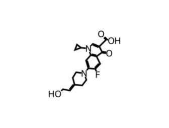 O=C(O)c1cn(C2CC2)c2cc(N3CCC(=CCO)CC3)c(F)cc2c1=O